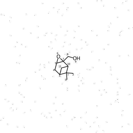 CC1(C)C2CC3OC3(CO)C1C2